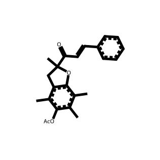 CC(=O)Oc1c(C)c(C)c2c(c1C)CC(C)(C(=O)C=Cc1ccccc1)O2